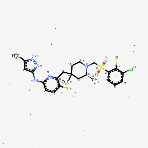 Cc1cc(Nc2ccc(F)c(CC3(C(=O)O)CCN(CS(=O)(=O)c4cccc(Cl)c4F)[C@H](C)C3)n2)n[nH]1